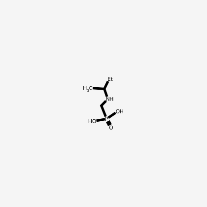 CCC(C)NCP(=O)(O)O